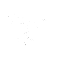 COC(=O)c1ccc(NC(=O)[C@@H](C)Cl)c(NC[C@@H]2CCO2)c1